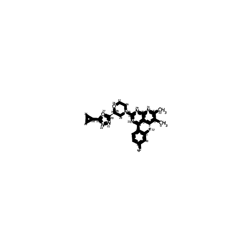 Cc1cc2c(-c3ccc(F)cc3F)nc(N3CCO[C@@H](c4nnc(C5CC5)o4)C3)nc2nc1C